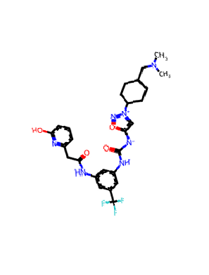 CN(C)CC1CCC([n+]2cc([N-]C(=O)Nc3cc(NC(=O)Cc4cccc(O)n4)cc(C(F)(F)F)c3)on2)CC1